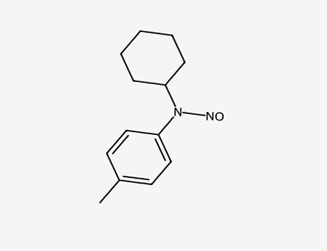 Cc1ccc(N(N=O)C2CCCCC2)cc1